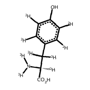 [2H]c1c([2H])c(C([2H])([2H])[C@@]([2H])(C(=O)O)N([2H])[2H])c([2H])c([2H])c1O